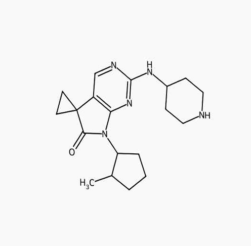 CC1CCCC1N1C(=O)C2(CC2)c2cnc(NC3CCNCC3)nc21